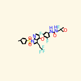 Cc1ccc(S(=O)(=O)n2cc(CCC(F)(F)F)c3c(Oc4c(F)cc(NC(=O)NCC5(F)COC5)cc4F)ccnc32)cc1